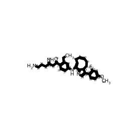 CCc1cc(N/C2=C\C/C=C\CCC3C(c4ccc(OC)cc4F)=CN=C23)ccc1C(=O)CC(=N)CCCN